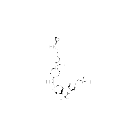 CC(C)(O)Cn1cc(-c2nc(NC3CCN(S(=O)(=O)CCCNC4CC4)CC3)ncc2C(F)(F)F)cn1